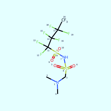 CN(C)CS(=O)(=O)NS(=O)(=O)C(F)(F)C(F)(F)C(F)(F)C(F)(F)F